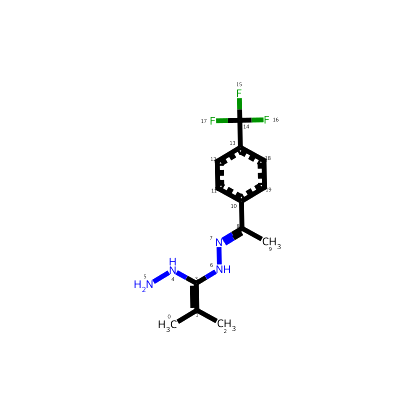 CC(C)=C(NN)N/N=C(\C)c1ccc(C(F)(F)F)cc1